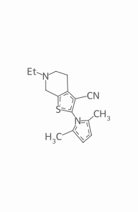 CCN1CCc2c(sc(-n3c(C)ccc3C)c2C#N)C1